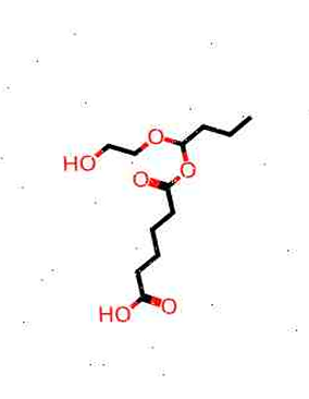 CCCC(OCCO)OC(=O)CCCCC(=O)O